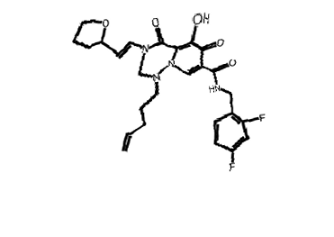 C=CCCCN1CN(/C=C/C2CCCO2)C(=O)c2c(O)c(=O)c(C(=O)NCc3ccc(F)cc3F)cn21